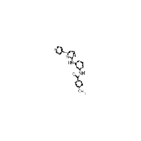 Cc1ccc(C(=O)Nc2cccc(Nc3nccc(-c4ccncc4)n3)c2)cc1